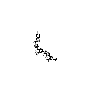 Cn1c(-c2cn(C3CC3)nc2C(F)(F)F)cnc1C(=O)Nc1ccc(C(=O)N2CCN(C(=O)NCC3(O)CCNCC3)CC2)c(Cl)c1.O=CO